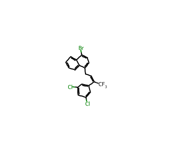 FC(F)(F)C(=CCc1ccc(Br)c2ccccc12)c1cc(Cl)cc(Cl)c1